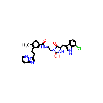 Cc1ccc(C(=O)NCCN2C(=O)C(Cc3c[nH]c4c(Cl)cccc34)NC2O)cc1CCc1cnc2cccnn12